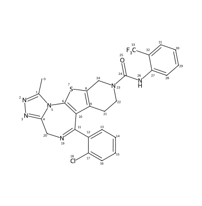 Cc1nnc2n1-c1sc3c(c1C(c1ccccc1Cl)=NC2)CCN(C(=O)Nc1ccccc1C(F)(F)F)C3